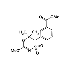 COC(=O)c1cccc(C2C(C)(C)OC(OC)=NS2(=O)=O)c1